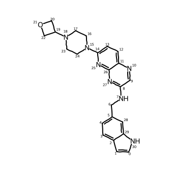 c1cc2ccc(CNc3cnc4ccc(N5CCN(C6COC6)CC5)nc4n3)cc2[nH]1